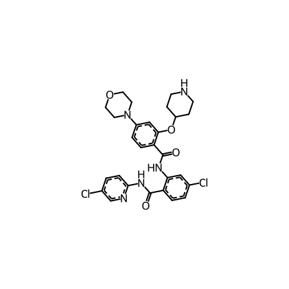 O=C(Nc1ccc(Cl)cn1)c1ccc(Cl)cc1NC(=O)c1ccc(N2CCOCC2)cc1OC1CCNCC1